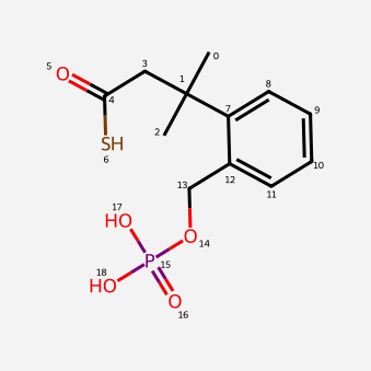 CC(C)(CC(=O)S)c1ccccc1COP(=O)(O)O